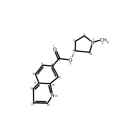 CN1CC[C@@H](OC(=O)c2ccc3cccnc3c2)C1